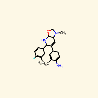 CC1=CC(C2=CC3C(NC2C2C=CC(F)=C(C)C2)OCN3C)CC=C1N